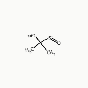 CC[CH]C(C)(C)[S+]=O